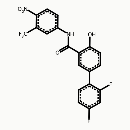 O=C(Nc1ccc([N+](=O)[O-])c(C(F)(F)F)c1)c1cc(-c2ccc(F)cc2F)ccc1O